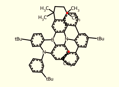 Cc1cc2c3c(c1)N(c1c(-c4ccccc4)cc(C(C)(C)C)cc1-c1ccccc1)c1cc4c(cc1B3c1ccc(C(C)(C)C)cc1N2c1cccc(C(C)(C)C)c1)C(C)(C)CCC4(C)C